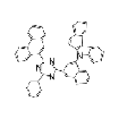 c1ccc(-c2nc(-c3cc(-n4c5ccccc5c5c6ccccc6ccc54)c4ccccc4c3)nc(-c3cc4ccccc4c4ccccc34)n2)cc1